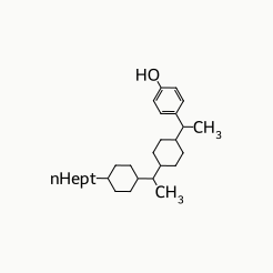 CCCCCCCC1CCC(C(C)C2CCC(C(C)c3ccc(O)cc3)CC2)CC1